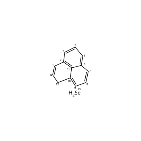 C1=Cc2cccc3cccc(c23)C1.[SeH2]